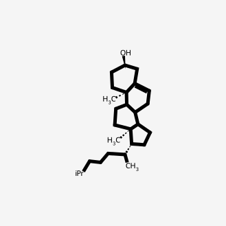 CC(C)CCCC(C)[C@H]1CCC2C3CC=C4C[C@H](O)CC[C@]4(C)C3CC[C@@]21C